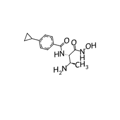 C[C@@H](N)[C@H](NC(=O)c1ccc(C2CC2)cc1)C(=O)NO